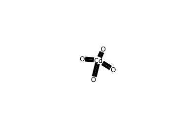 [O]=[Cd](=[O])(=[O])=[O]